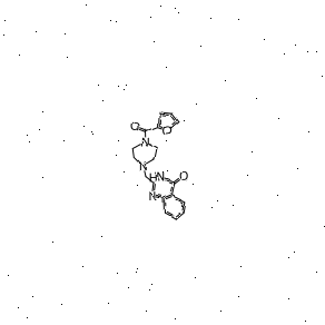 O=C(c1ccco1)N1CCN(Cc2nc3ccccc3c(=O)[nH]2)CC1